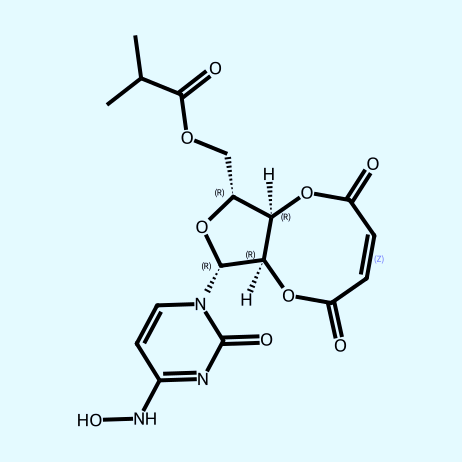 CC(C)C(=O)OC[C@H]1O[C@@H](n2ccc(NO)nc2=O)[C@@H]2OC(=O)/C=C\C(=O)O[C@@H]21